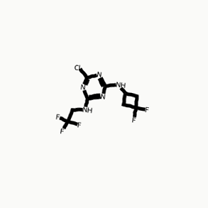 FC(F)(F)CNc1nc(Cl)nc(NC2CC(F)(F)C2)n1